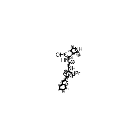 CC(C)[C@H](NC(=O)c1cc2ccccc2s1)C(=O)NCC(=O)N[C@H](C=O)C[C@@H]1CCNC1=O